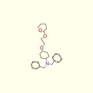 c1ccc(CN(Cc2ccccc2)C2CCC(OCCOC3CCCCO3)CC2)cc1